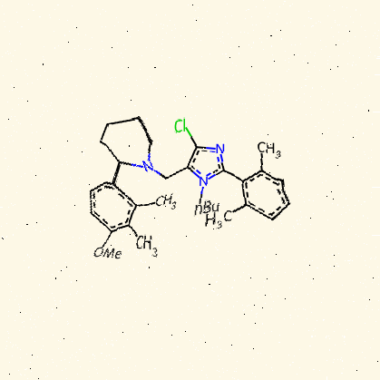 CCCCn1c(-c2c(C)cccc2C)nc(Cl)c1CN1CCCCC1c1ccc(OC)c(C)c1C